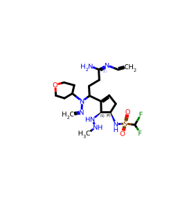 C=C/N=C(/N)CCC(C1=CC[C@@H](NS(=O)(=O)C(F)F)[C@H]1NNC)N(N=C)C1CCOCC1